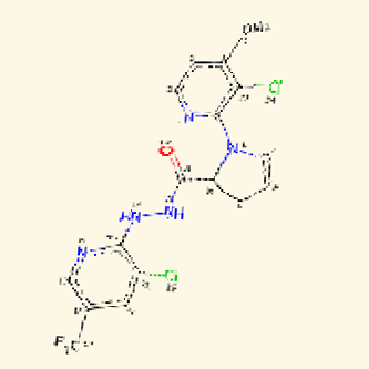 COc1ccnc(N2C=CCC2C(=O)NNc2ncc(C(F)(F)F)cc2Cl)c1Cl